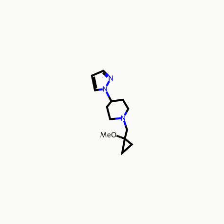 COC1(CN2CCC(n3cccn3)CC2)CC1